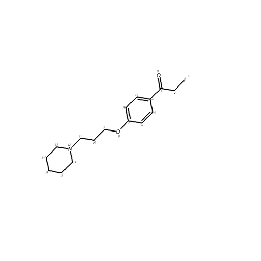 O=C(CI)c1ccc(OCCCN2CCCCC2)cc1